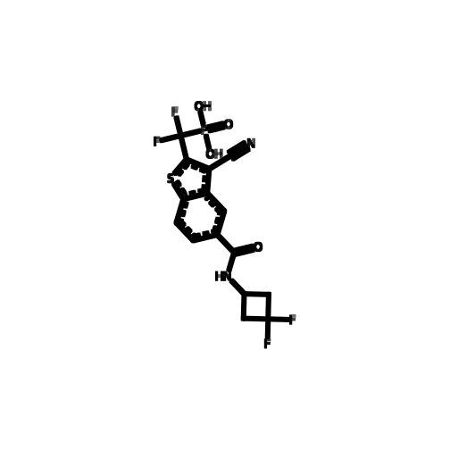 N#Cc1c(C(F)(F)P(=O)(O)O)sc2ccc(C(=O)NC3CC(F)(F)C3)cc12